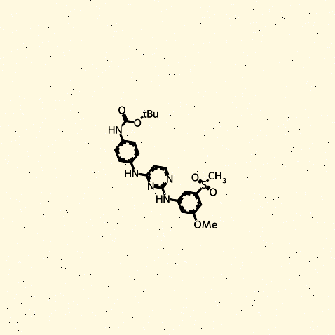 COc1cc(Nc2nccc(Nc3ccc(NC(=O)OC(C)(C)C)cc3)n2)cc(S(C)(=O)=O)c1